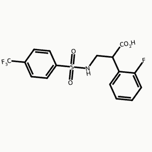 O=C(O)C(CNS(=O)(=O)c1ccc(C(F)(F)F)cc1)c1ccccc1F